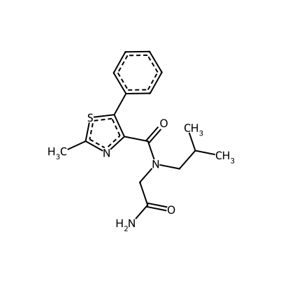 Cc1nc(C(=O)N(CC(N)=O)CC(C)C)c(-c2ccccc2)s1